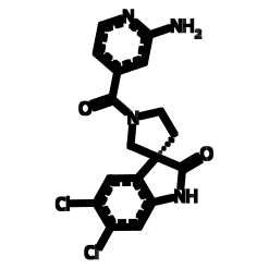 Nc1cc(C(=O)N2CC[C@]3(C2)C(=O)Nc2cc(Cl)c(Cl)cc23)ccn1